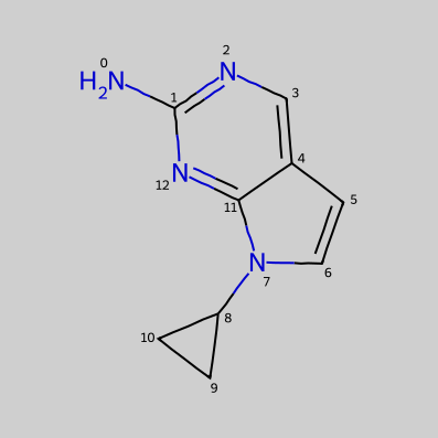 Nc1ncc2ccn(C3CC3)c2n1